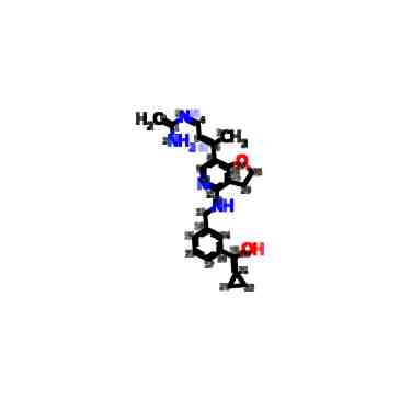 C=C(N)/N=C\C=C(/C)c1cnc(NCc2cccc(C(O)=C3CC3)c2)c2c1OCC2